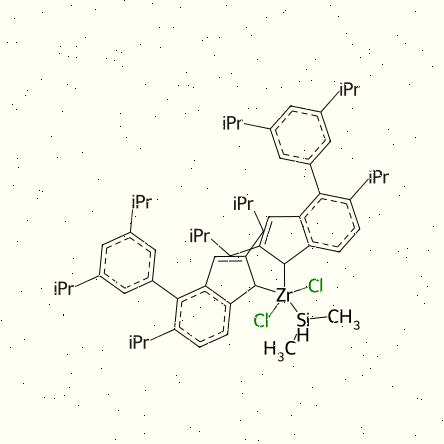 CC(C)CC1=Cc2c(ccc(C(C)C)c2-c2cc(C(C)C)cc(C(C)C)c2)[CH]1[Zr]([Cl])([Cl])([CH]1C(CC(C)C)=Cc2c1ccc(C(C)C)c2-c1cc(C(C)C)cc(C(C)C)c1)[SiH](C)C